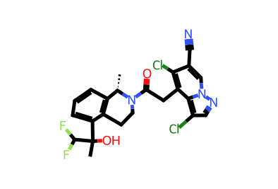 C[C@H]1c2cccc(C(C)(O)C(F)F)c2CCN1C(=O)Cc1c(Cl)c(C#N)cn2ncc(Cl)c12